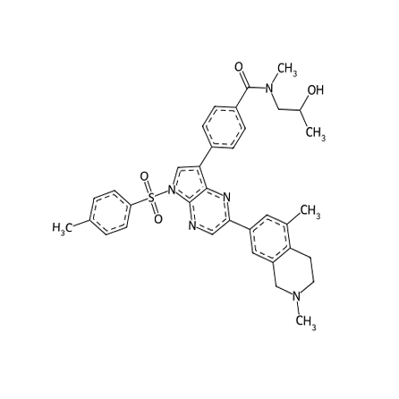 Cc1ccc(S(=O)(=O)n2cc(-c3ccc(C(=O)N(C)CC(C)O)cc3)c3nc(-c4cc(C)c5c(c4)CN(C)CC5)cnc32)cc1